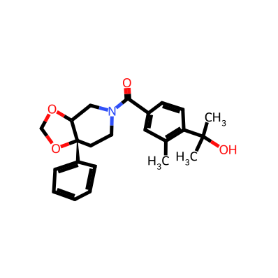 Cc1cc(C(=O)N2CC[C@]3(c4ccccc4)OCOC3C2)ccc1C(C)(C)O